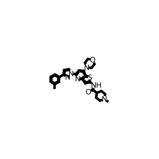 Cc1cccc(-c2ccn(-c3cc(N4CCOCC4)c4sc(NC(=O)C5CCN(C)CC5)cc4n3)n2)c1